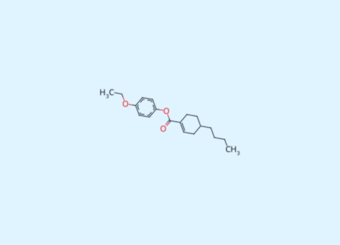 CCCCC1CC=C(C(=O)Oc2ccc(OCC)cc2)CC1